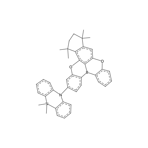 CC1(C)CCC(C)(C)c2c1cc1c3c2Oc2cc(N4c5ccccc5[Si](C)(C)c5ccccc54)ccc2B3c2ccccc2O1